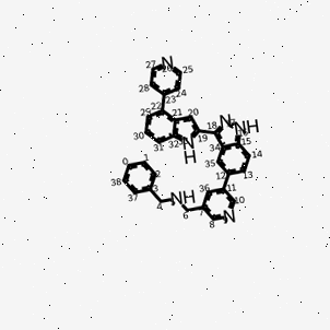 c1ccc(CNCc2cncc(-c3ccc4[nH]nc(-c5cc6c(-c7ccncc7)cccc6[nH]5)c4c3)c2)cc1